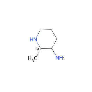 C[C@@H]1NCCCC1[NH]